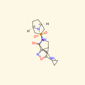 NC1C2CN(S(=O)(=O)N3[C@@H]4CC[C@H]3C[C@@H](NC(=O)c3cc(C5CC5)on3)C4)CC12